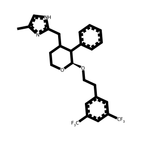 Cc1c[nH]c(CC2CCO[C@H](OCCc3cc(C(F)(F)F)cc(C(F)(F)F)c3)C2c2ccccc2)n1